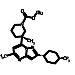 Cc1cc([C@]2(C)CCCN(C(=O)OC(C)(C)C)C2)n2nc([C@H]3CC[C@H](C(F)(F)F)CC3)cc2n1